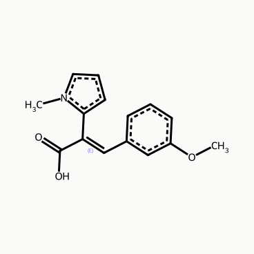 COc1cccc(/C=C(/C(=O)O)c2cccn2C)c1